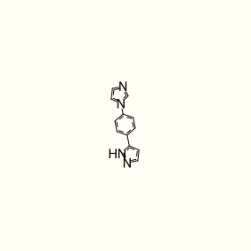 c1cn(-c2ccc(-c3ccn[nH]3)cc2)cn1